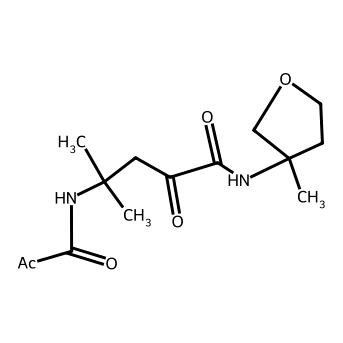 CC(=O)C(=O)NC(C)(C)CC(=O)C(=O)NC1(C)CCOC1